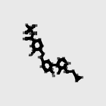 Cc1c(-c2cc(OCc3ccc(C(=O)NS(C)(=O)=O)cc3F)ccc2F)ccnc1OCC1CC1